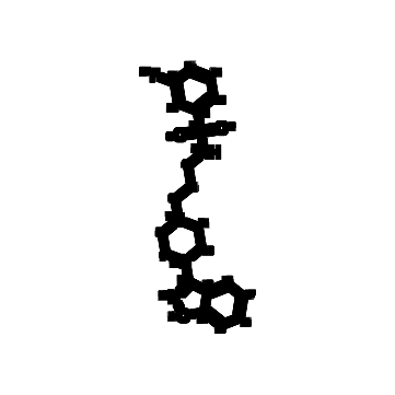 O=S(=O)(NCCCN1CCN(c2noc3ccccc23)CC1)c1cccc(F)c1